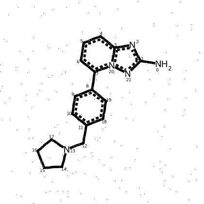 Nc1nc2cccc(-c3ccc(CN4CCCC4)cc3)n2n1